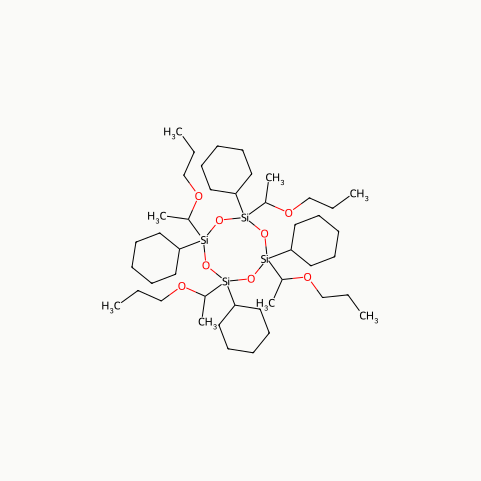 CCCOC(C)[Si]1(C2CCCCC2)O[Si](C2CCCCC2)(C(C)OCCC)O[Si](C2CCCCC2)(C(C)OCCC)O[Si](C2CCCCC2)(C(C)OCCC)O1